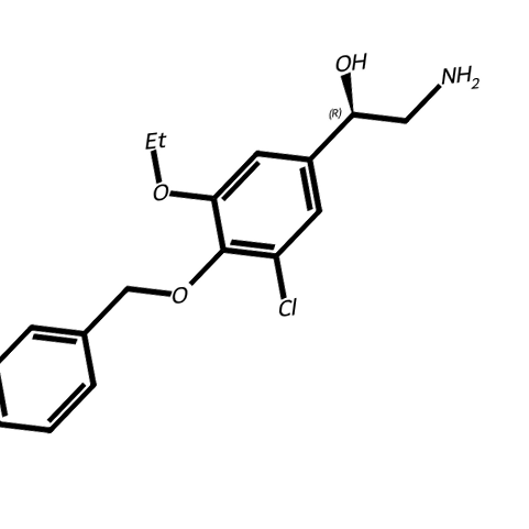 CCOc1cc([C@@H](O)CN)cc(Cl)c1OCc1ccccc1